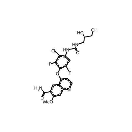 COc1cc2nccc(Oc3c(F)cc(NC(=O)NC[C@@H](O)CO)c(Cl)c3F)c2cc1C(N)=O